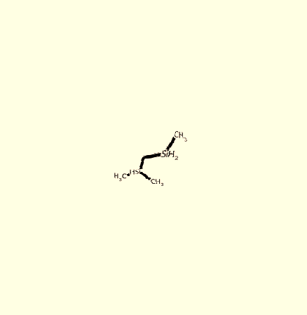 C[SiH2]C[SiH](C)C